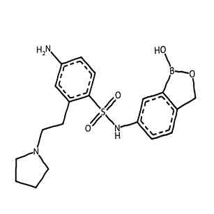 Nc1ccc(S(=O)(=O)Nc2ccc3c(c2)B(O)OC3)c(CCN2CCCC2)c1